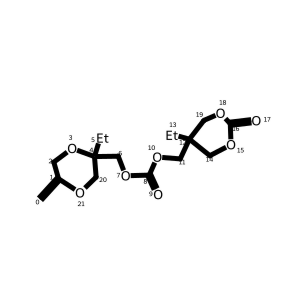 C=C1COC(CC)(COC(=O)OCC2(CC)COC(=O)OC2)CO1